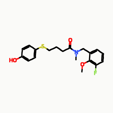 COc1c(F)cccc1CN(C)C(=O)CCCSc1ccc(O)cc1